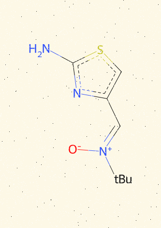 CC(C)(C)[N+]([O-])=Cc1csc(N)n1